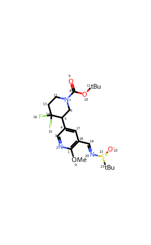 COc1ncc(C2CN(C(=O)OC(C)(C)C)CCC2(F)F)cc1/C=N/[S+]([O-])C(C)(C)C